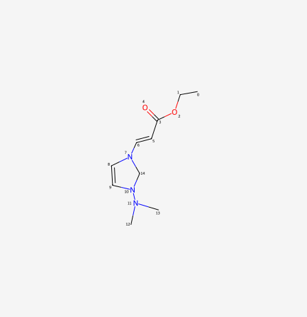 CCOC(=O)C=CN1C=CN(N(C)C)C1